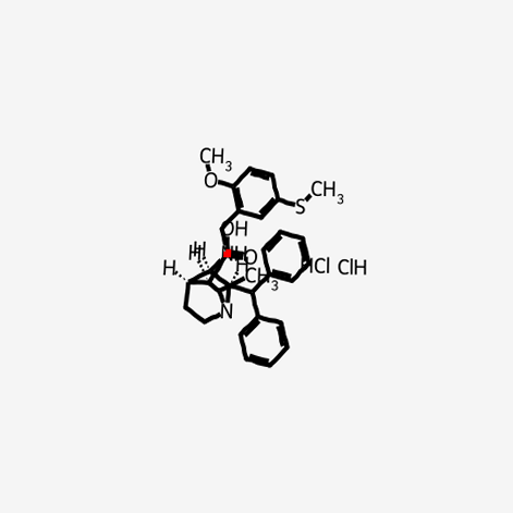 COc1ccc(SC)cc1CN[C@@H]1[C@@H]2CCN(C(C)[C@@H]2C(=O)O)[C@@H]1C(c1ccccc1)c1ccccc1.Cl.Cl